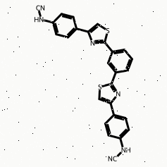 N#CNc1ccc(-c2csc(-c3cccc(-c4nc(-c5ccc(NC#N)cc5)cs4)c3)n2)cc1